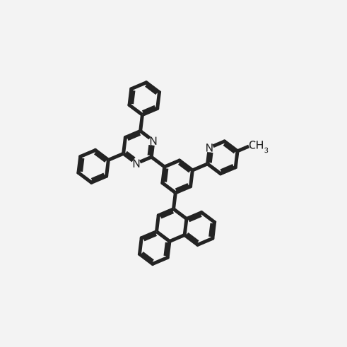 Cc1ccc(-c2cc(-c3nc(-c4ccccc4)cc(-c4ccccc4)n3)cc(-c3cc4ccccc4c4ccccc34)c2)nc1